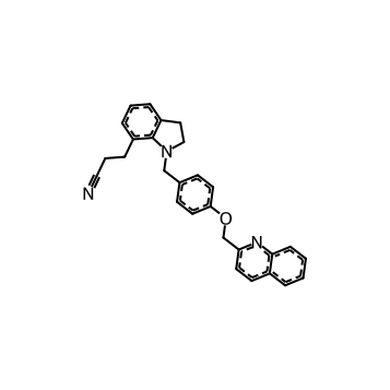 N#CCCc1cccc2c1N(Cc1ccc(OCc3ccc4ccccc4n3)cc1)CC2